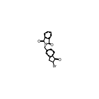 O=C1c2ccc(CN3C(=O)c4ccccc4C3=O)cc2CC1Br